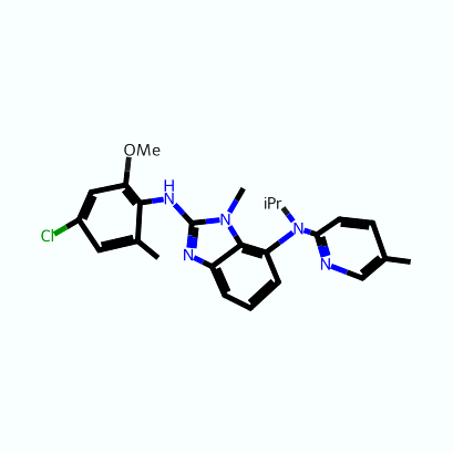 COc1cc(Cl)cc(C)c1Nc1nc2cccc(N(c3ccc(C)cn3)C(C)C)c2n1C